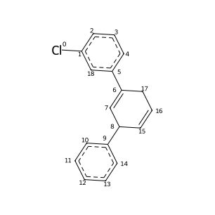 Clc1cccc(C2=CC(c3ccccc3)C=CC2)c1